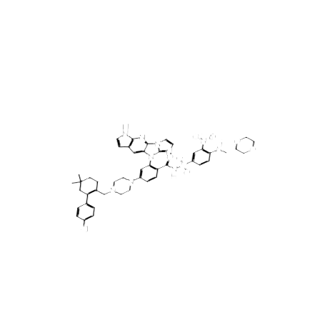 CC1(C)CCC(CN2CCN(c3ccc(C(=O)NS(=O)(=O)c4ccc(NC[C@H]5COCCO5)c([N+](=O)[O-])c4)c(-n4c5cc6cc[nH]c6nc5n5ccnc45)c3)CC2)=C(c2ccc(Cl)cc2)C1